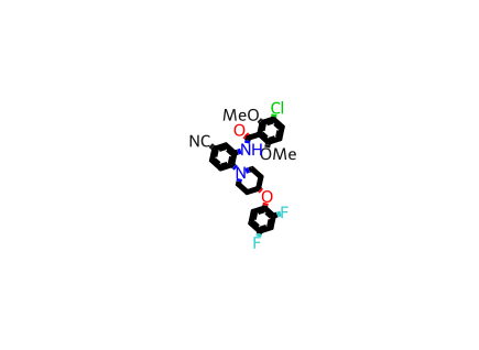 COc1ccc(Cl)c(OC)c1C(=O)Nc1cc(C#N)ccc1N1CCC(Oc2ccc(F)cc2F)CC1